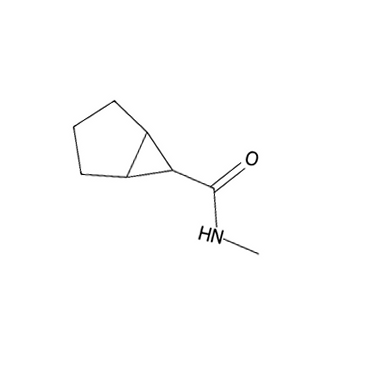 CNC(=O)C1C2CCCC21